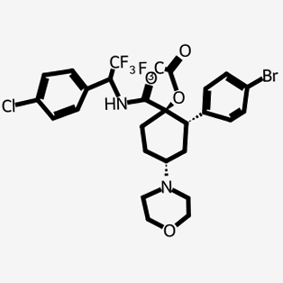 O=C(O[C@]1(C(=O)NC(c2ccc(Cl)cc2)C(F)(F)F)CC[C@@H](N2CCOCC2)C[C@H]1c1ccc(Br)cc1)C(F)(F)F